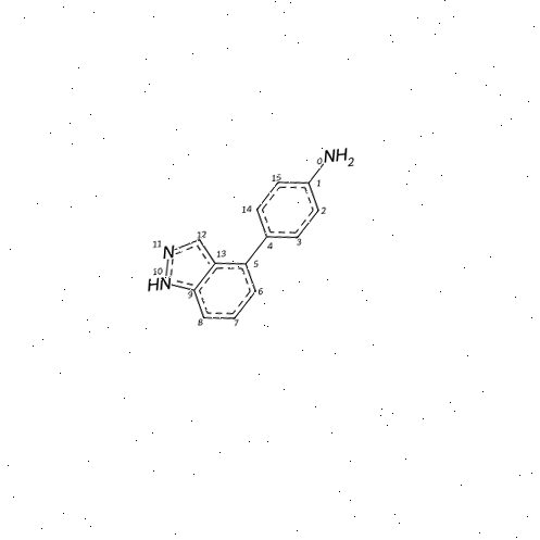 Nc1ccc(-c2cccc3[nH]ncc23)cc1